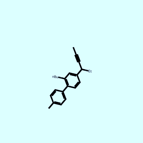 CC#CC(CC)c1ccc(-c2ccc(C)cc2)c(CCCC)c1